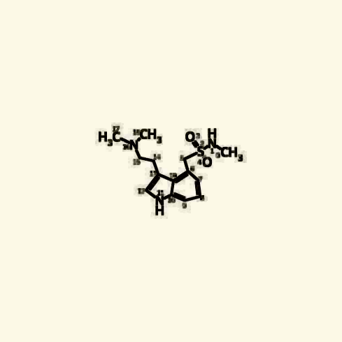 CNS(=O)(=O)Cc1cccc2[nH]cc(CCN(C)C)c12